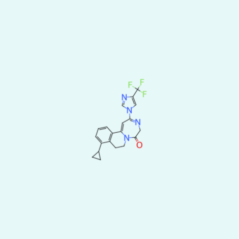 O=C1CN=C(n2cnc(C(F)(F)F)c2)C=C2c3cccc(C4CC4)c3CCN12